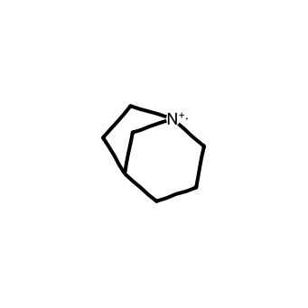 C1CC2CC[N+](C1)C2